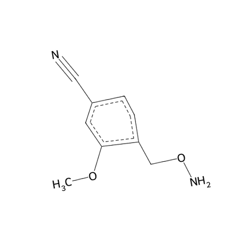 COc1cc(C#N)ccc1CON